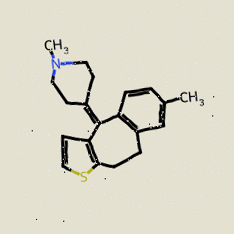 Cc1ccc2c(c1)CCc1sccc1C2=C1CCN(C)CC1